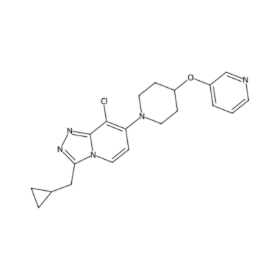 Clc1c(N2CCC(Oc3cccnc3)CC2)ccn2c(CC3CC3)nnc12